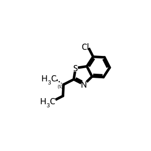 CC[C@H](C)c1nc2cccc(Cl)c2s1